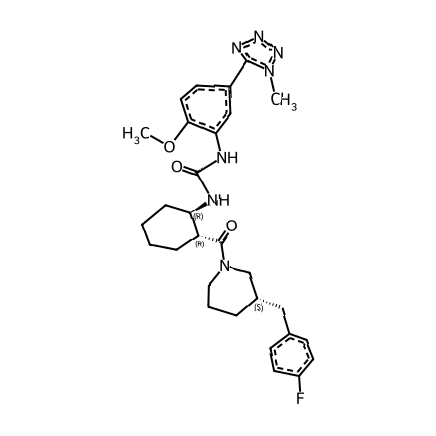 COc1ccc(-c2nnnn2C)cc1NC(=O)N[C@@H]1CCCC[C@H]1C(=O)N1CCC[C@@H](Cc2ccc(F)cc2)C1